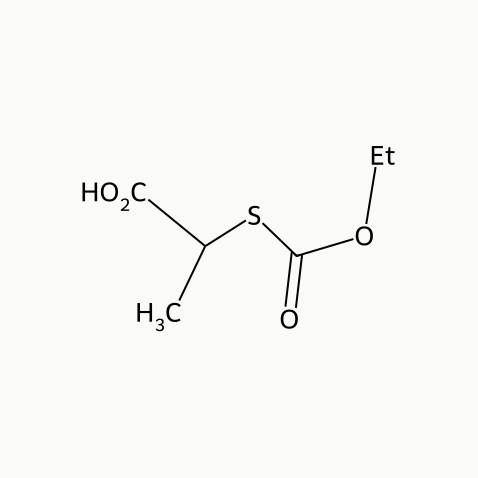 CCOC(=O)SC(C)C(=O)O